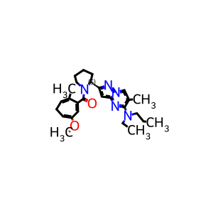 CCCN(CC)c1nc2cc([C@@H]3CCCCN3C(=O)C3=CC(OC)=CCC=C3C)nn2cc1C